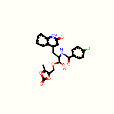 Cc1oc(=O)oc1COC(O)C(Cc1cc(=O)[nH]c2ccccc12)NC(=O)c1ccc(Cl)cc1